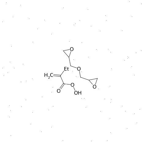 C(OCC1CO1)C1CO1.C=C(CC)C(=O)OO